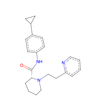 O=C(Nc1ccc(C2CC2)cc1)[C@H]1CCCCN1CCc1ccccn1